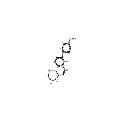 CSc1ccc(-c2cncc(/C=C\C3CCCSO3)n2)cc1